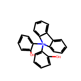 Oc1ccccc1[N+]1(c2ccccc2O)c2ccccc2-c2ccccc21